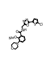 COc1c(C(=O)NCc2nnc(-c3ccc(Cl)s3)o2)cccc1N1CCOCC1